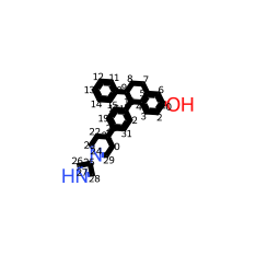 Oc1ccc2c(c1)CCC(c1ccccc1)C2c1ccc(C2CCN(C3CNC3)CC2)cc1